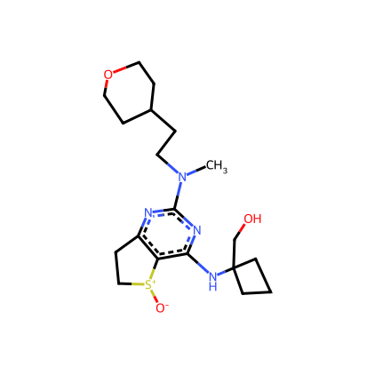 CN(CCC1CCOCC1)c1nc2c(c(NC3(CO)CCC3)n1)[S+]([O-])CC2